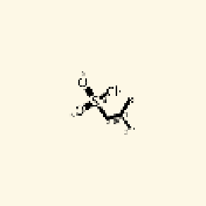 [CH2][C@H](C)CS(=O)(=O)Cl